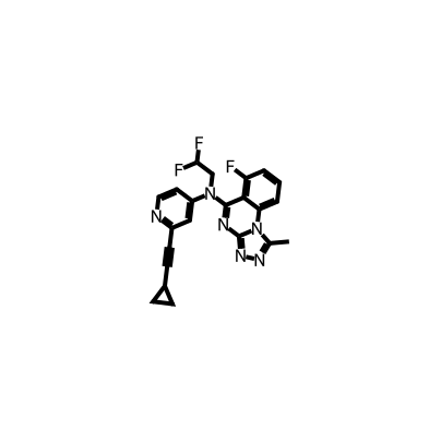 Cc1nnc2nc(N(CC(F)F)c3ccnc(C#CC4CC4)c3)c3c(F)cccc3n12